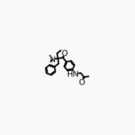 CCC(Cc1ccccc1)(C(=O)c1ccc(NCC(C)=O)cc1)N(C)C